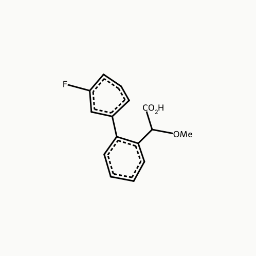 COC(C(=O)O)c1ccccc1-c1cccc(F)c1